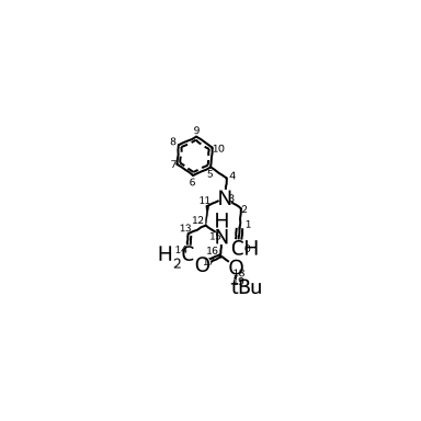 C#CCN(Cc1ccccc1)C[C@H](C=C)NC(=O)OC(C)(C)C